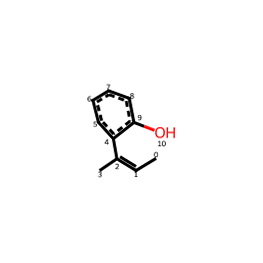 C/C=C(/C)c1ccccc1O